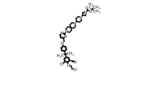 CC(C)(C)OC(=O)N1CC(N2CCC(N3CCC4(CCN(c5nccc(COc6ccc(C(C)(C)c7cc(Cl)c(OCCCl)c(C#N)c7)cc6)n5)CC4)CC3)CC2)C1